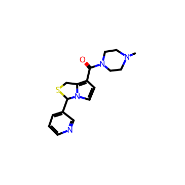 CN1CCN(C(=O)c2ccn3c2CSC3c2cccnc2)CC1